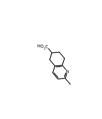 Cc1ccc2c(n1)CCC(C(=O)O)C2